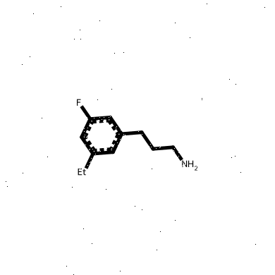 CCc1cc(F)cc(CCCN)c1